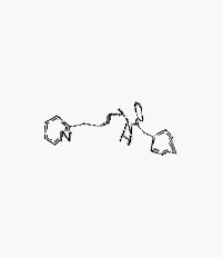 O=C(NN=CCc1ccccn1)c1ccccc1